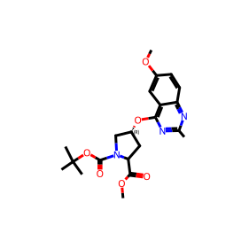 COC(=O)C1C[C@@H](Oc2nc(C)nc3ccc(OC)cc23)CN1C(=O)OC(C)(C)C